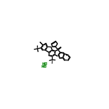 Cl.Cl.[CH2]=[Zr]([C]1=CC=CC1)([c]1ccc2ccccc2c1)[c]1c(C)c(C(C)(C)C)cc2c1Cc1cc(C)c(C(C)(C)C)cc1-2